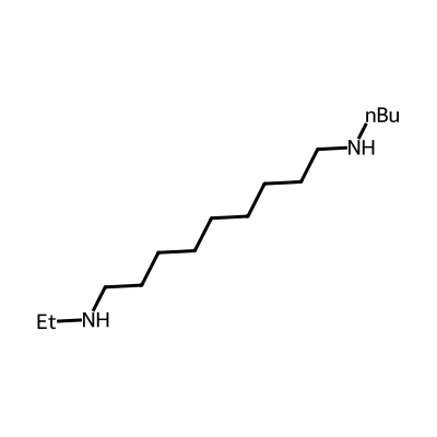 CCCCNCCCCCCCCCNCC